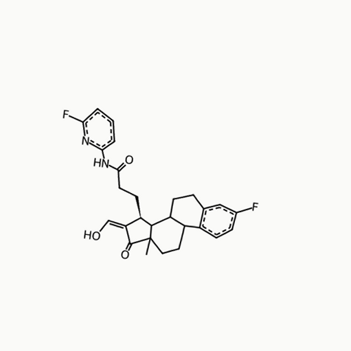 CC12CCC3c4ccc(F)cc4CCC3C1[C@H](CCC(=O)Nc1cccc(F)n1)/C(=C/O)C2=O